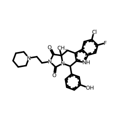 CC12Cc3c([nH]c4cc(F)c(Cl)cc34)C(c3cccc(O)c3)N1C(=O)N(CCN1CCCCC1)C2=O